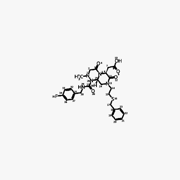 CN1CC(=O)N2[C@@H](CC(=O)O)C(=O)N(CCSCc3ccccc3)C[C@@H]2N1C(=O)NCc1ccc(F)cc1